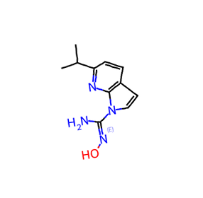 CC(C)c1ccc2ccn(/C(N)=N/O)c2n1